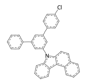 Clc1ccc(-c2cc(-c3ccccc3)cc(-n3c4ccccc4c4c5ccccc5ccc43)c2)cc1